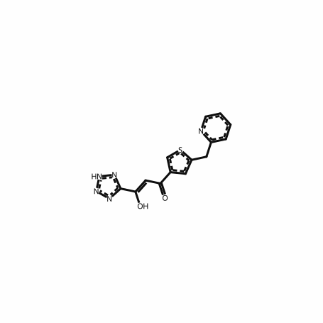 O=C(C=C(O)c1nn[nH]n1)c1csc(Cc2ccccn2)c1